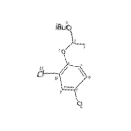 CC(C)COC(C)Oc1ccc(Cl)cc1Cl